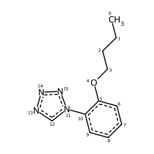 CCCCOc1ccccc1-n1cnnn1